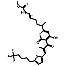 COC(=O)N/C=C/CCC(C)c1cc(O)c(C(=O)/C(C)=C/c2ccc(CCCCC(F)(F)F)s2)c(=O)o1